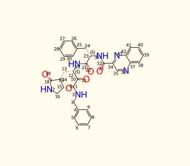 O=C(NCc1ccccc1)C(=O)[C@H](C[C@@H]1CCNC1=O)NC(=O)[C@H](Cc1ccccc1)NC(=O)c1cnc2ccccc2n1